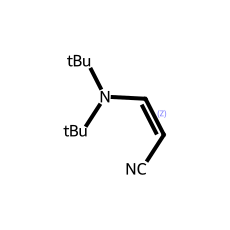 CC(C)(C)N(/C=C\C#N)C(C)(C)C